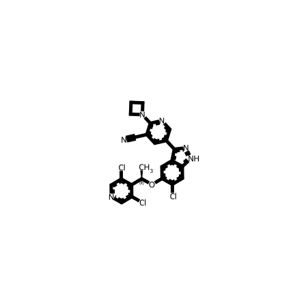 C[C@@H](Oc1cc2c(-c3cnc(N4CCC4)c(C#N)c3)n[nH]c2cc1Cl)c1c(Cl)cncc1Cl